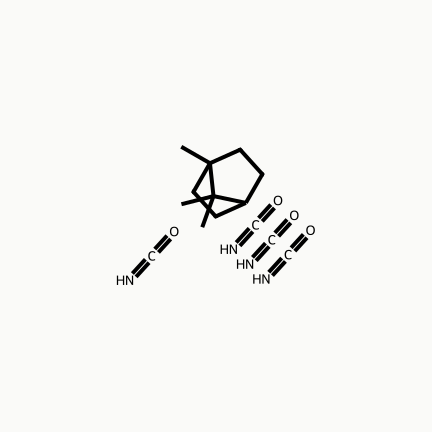 CC12CCC(CC1)C2(C)C.N=C=O.N=C=O.N=C=O.N=C=O